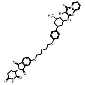 CN1CC(Nc2nc3ccccn3c(=O)c2Br)CC(c2ccc(OCCOCCOc3ccc4c(c3)C(=O)N(C3CCC(=O)NC3=O)C4=O)cc2)C1